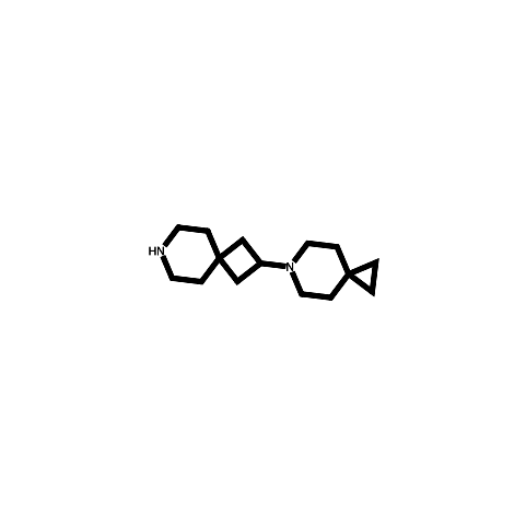 C1CC2(CCN1)CC(N1CCC3(CC1)CC3)C2